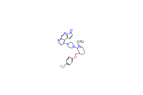 O=CN1CCCC(COc2ccc(C(F)(F)F)cc2)C1N1CCN(c2ccnc3cnc4[nH]ccc4c23)CC1